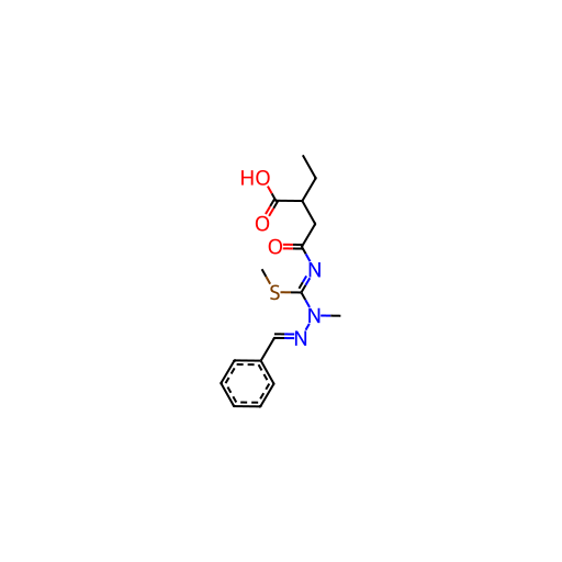 CCC(CC(=O)N=C(SC)N(C)N=Cc1ccccc1)C(=O)O